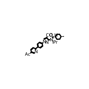 CC(=O)c1ccc(-c2ccc(-n3cc(C(=O)O)c(N(C(=O)[C@H]4CC[C@H](C)CC4)C(C)C)n3)cc2)nc1